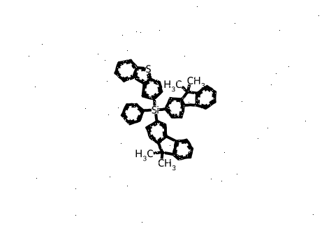 CC1(C)c2ccccc2-c2cc([Si](c3ccccc3)(c3ccc4c(c3)C(C)(C)c3ccccc3-4)c3ccc4sc5ccccc5c4c3)ccc21